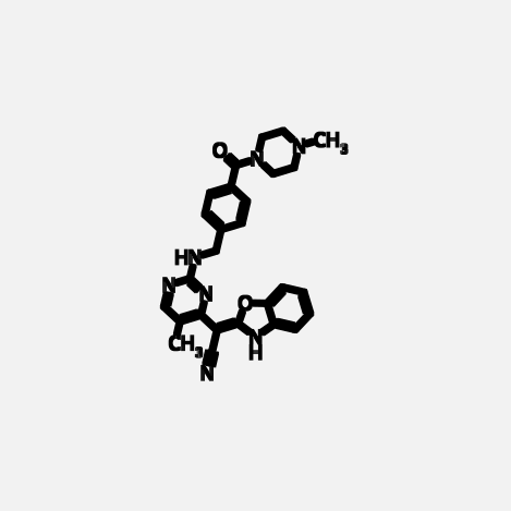 Cc1cnc(NCc2ccc(C(=O)N3CCN(C)CC3)cc2)nc1C(C#N)=C1Nc2ccccc2O1